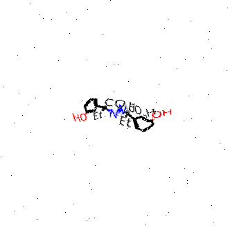 CCC(/N=N/C(CC)(C(=O)O)c1cccc(O)c1)(C(=O)O)c1cccc(O)c1